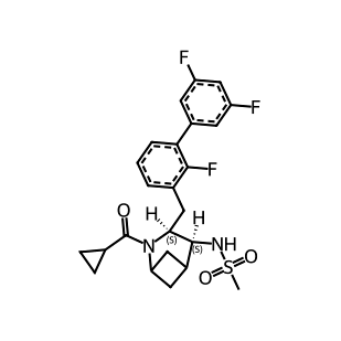 CS(=O)(=O)N[C@H]1C2CC(C2)N(C(=O)C2CC2)[C@H]1Cc1cccc(-c2cc(F)cc(F)c2)c1F